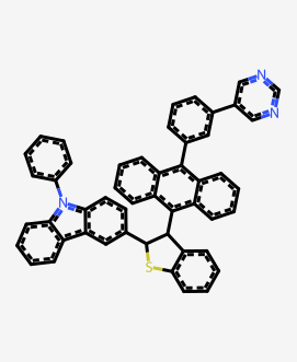 c1ccc(-n2c3ccccc3c3cc(C4Sc5ccccc5C4c4c5ccccc5c(-c5cccc(-c6cncnc6)c5)c5ccccc45)ccc32)cc1